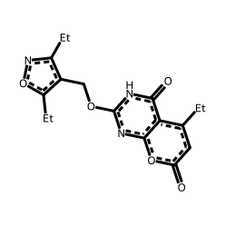 CCc1noc(CC)c1COc1nc2oc(=O)cc(CC)c2c(=O)[nH]1